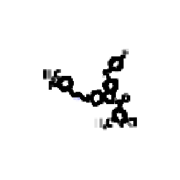 Cc1cc(C(=O)N2CC3(CCN(C/C=C/c4ccc(C)c(F)c4)CC3)c3cc(Sc4ccc(F)cc4)ccc32)cc(Cl)n1